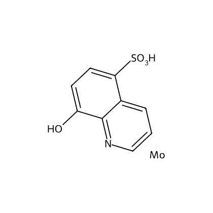 O=S(=O)(O)c1ccc(O)c2ncccc12.[Mo]